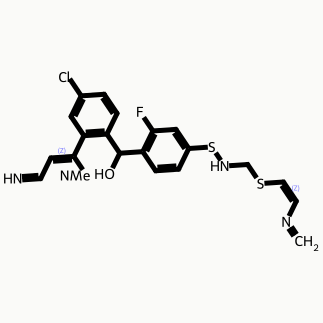 C=N/C=C\SCNSc1ccc(C(O)c2ccc(Cl)cc2/C(=C/C=N)NC)c(F)c1